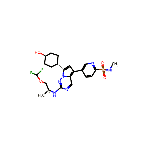 CNS(=O)(=O)c1ccc(-c2cc([C@H]3CC[C@H](O)CC3)n3nc(N[C@@H](C)COC(F)F)ncc23)cn1